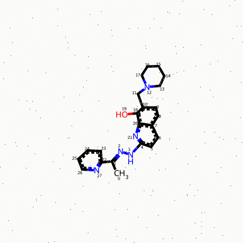 C/C(=N\Nc1ccc2ccc(CN3CCCCC3)c(O)c2n1)c1ccccn1